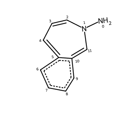 NN1C=CC=c2ccccc2=C1